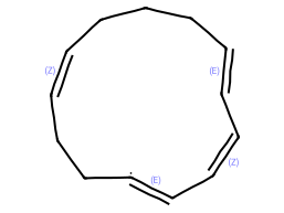 [C]1=C/C=C\C=C\CCC/C=C\CC/1